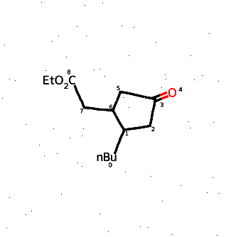 CCCCC1CC(=O)CC1CC(=O)OCC